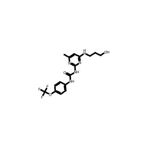 Cc1cc(NCCCO)nc(NC(=O)Nc2ccc(OC(F)(F)F)cc2)n1